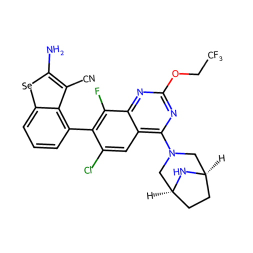 N#Cc1c(N)[se]c2cccc(-c3c(Cl)cc4c(N5C[C@H]6CC[C@@H](C5)N6)nc(OCC(F)(F)F)nc4c3F)c12